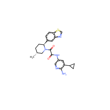 C[C@@H]1CC[C@@H](c2ccc3scnc3c2)N(C(=O)C(=O)Nc2cnc(N)c(C3CC3)c2)C1